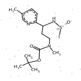 Cc1ccc(C(CCN(C)C(=O)OC(C)(C)C)N[S@+]([O-])I)nc1